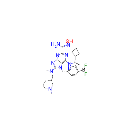 C[C@@H](Nc1nc(/C(N)=N/O)nc2nc(N(C)CC3CCCN(C)C3)n(Cc3ccc(B(F)F)cc3)c12)C1CCC1